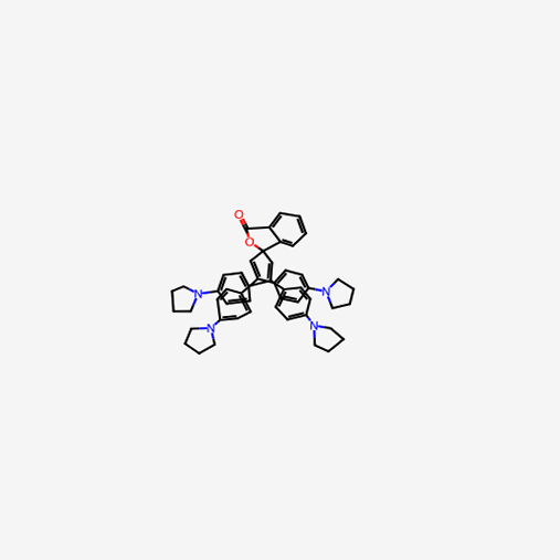 O=C1OC(C=C(c2ccc(N3CCCC3)cc2)c2ccc(N3CCCC3)cc2)(C=C(c2ccc(N3CCCC3)cc2)c2ccc(N3CCCC3)cc2)c2ccccc21